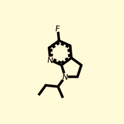 CCC(C)N1CCc2cc(F)cnc21